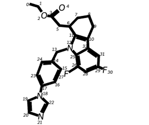 CCOC(=O)CC1CCCc2c1n(Cc1ccc(-n3ccnc3)cc1)c1c(F)cc(F)cc21